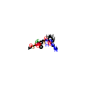 CC(C)CC(=O)SCCOP(=O)(Oc1ccccc1)C(F)(F)c1ccc2sc(C(=O)N[C@H]3C[C@H]4C[C@H]4C[C@H]4CC[C@@H](C(=O)N5CC(n6ccnc6)C5)N4C3=O)cc2c1